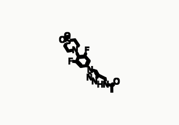 CC(=O)NCc1cn(-c2cc(F)c(N3CCS(=O)(=O)CC3)c(F)c2)nn1